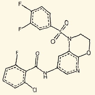 O=C(Nc1cnc2c(c1)N(S(=O)(=O)c1ccc(F)c(F)c1)CCO2)c1c(F)cccc1Cl